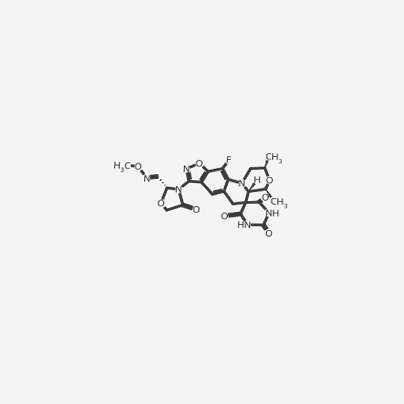 CON=C[C@H]1OCC(=O)N1c1noc2c(F)c3c(cc12)CC1(C(=O)NC(=O)NC1=O)[C@H]1[C@H](C)O[C@H](C)CN31